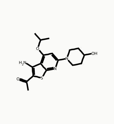 CC(=O)c1sc2nc(N3CCC(O)CC3)cc(OC(C)C)c2c1N